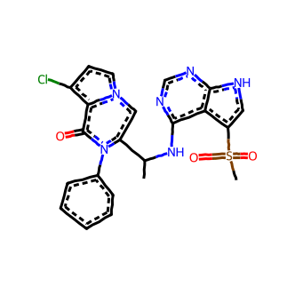 CC(Nc1ncnc2[nH]cc(S(C)(=O)=O)c12)c1cn2ccc(Cl)c2c(=O)n1-c1ccccc1